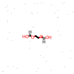 OBOCCOBO